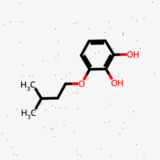 CC(C)CCOc1cccc(O)c1O